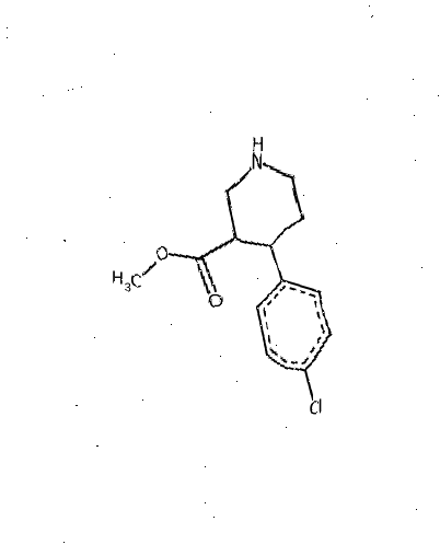 COC(=O)C1CNCCC1c1ccc(Cl)cc1